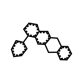 c1ccc(-c2cccc3cc4c(cc23)Cc2ccccc2C4)cc1